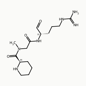 CN(CC(=O)N[C@H](C=O)CCCNC(=N)N)C(=O)[C@H]1CCCCN1